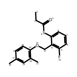 CCC(=O)Sc1cccc(F)c1COc1ccc(C)cc1C